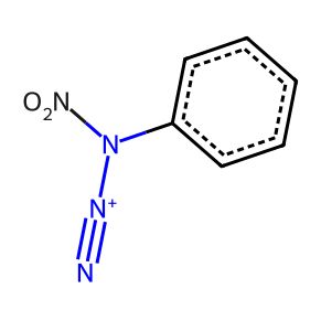 N#[N+]N(c1ccccc1)[N+](=O)[O-]